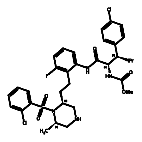 COC(=O)N[C@H](C(=O)Nc1cccc(F)c1CC[C@H]1CNC[C@H](C)N1S(=O)(=O)c1ccccc1Cl)[C@@H](c1ccc(Cl)cc1)C(C)C